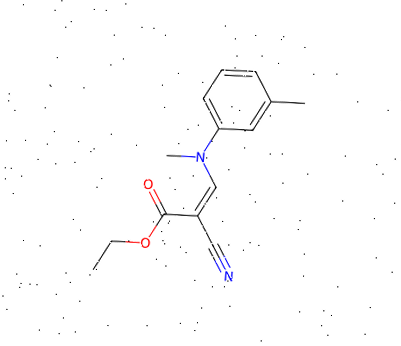 CCOC(=O)C(C#N)=CN(C)c1cccc(C)c1